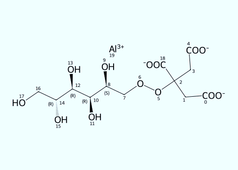 O=C([O-])CC(CC(=O)[O-])(OOC[C@H](O)[C@@H](O)[C@H](O)[C@H](O)CO)C(=O)[O-].[Al+3]